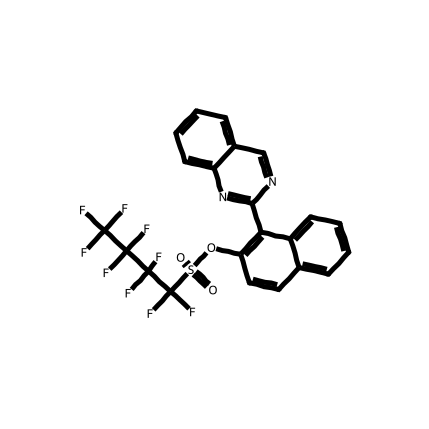 O=S(=O)(Oc1ccc2ccccc2c1-c1ncc2ccccc2n1)C(F)(F)C(F)(F)C(F)(F)C(F)(F)F